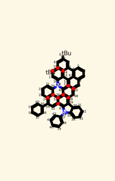 CC(C)(C)c1cc(-c2cccc3cccc(-c4ccccc4N(c4ccccc4-c4ccc5c6ccccc6n(-c6ccccc6)c5c4)c4ccccc4C4C=CC(c5ccccc5)=CC4)c23)cc(C(C)(C)C)c1